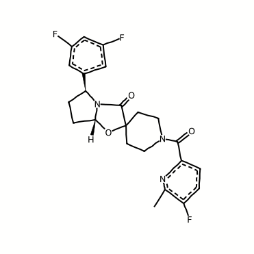 Cc1nc(C(=O)N2CCC3(CC2)O[C@@H]2CC[C@@H](c4cc(F)cc(F)c4)N2C3=O)ccc1F